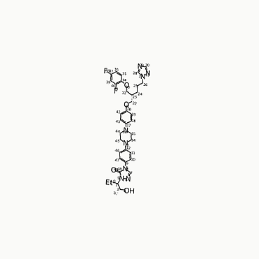 CCC([C@@H](C)O)n1ncn(-c2ccc(N3CCN(c4ccc(OC[C@@H](CCCn5cncn5)COc5ccc(F)cc5F)cc4)CC3)cc2)c1=O